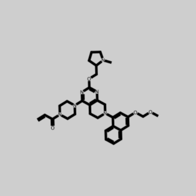 C=CC(=O)N1CCN(c2nc(OCC3CCCN3C)nc3c2CCN(c2cc(OCOC)cc4ccccc24)C3)CC1